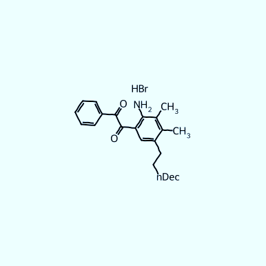 Br.CCCCCCCCCCCCc1cc(C(=O)C(=O)c2ccccc2)c(N)c(C)c1C